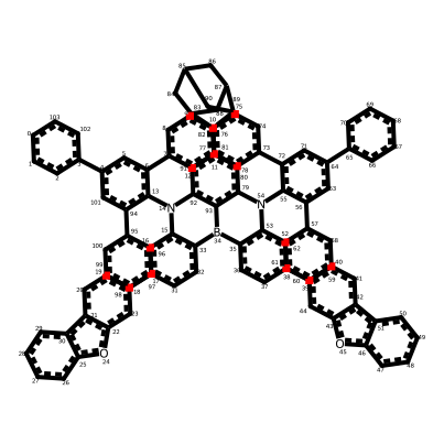 c1ccc(-c2cc(-c3ccccc3)c(N3c4cc(-c5ccc6c(c5)oc5ccccc56)ccc4B4c5ccc(-c6ccc7c(c6)oc6ccccc67)cc5N(c5c(-c6ccccc6)cc(-c6ccccc6)cc5-c5ccccc5)c5cc(N6C7CC8CC(C7)C6C8)cc3c54)c(-c3ccccc3)c2)cc1